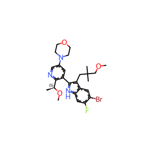 COCC(C)(C)Cc1c(-c2cc(N3CCOCC3)cnc2[C@H](C)OC)[nH]c2cc(F)c(Br)cc12